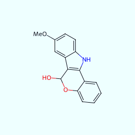 COc1ccc2[nH]c3c(c2c1)C(O)Oc1ccccc1-3